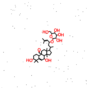 CC(C)=CC(CC(C)C1CCC2(C)C3C(O)C=C4C(CCC(O)C4(C)C)C3(C=O)CCC12C)OC1OC(CO)C(O)C(O)C1O